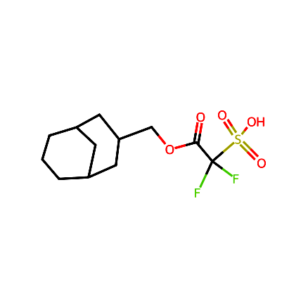 O=C(OCC1CC2CCCC(C2)C1)C(F)(F)S(=O)(=O)O